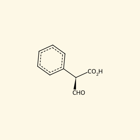 O=C[C@H](C(=O)O)c1ccccc1